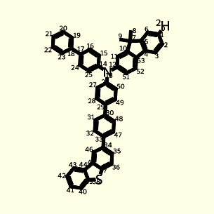 [2H]c1ccc2c(c1)C(C)(C)c1cc(N(c3ccc(-c4ccccc4)cc3)c3ccc(-c4ccc(-c5ccc6sc7ccccc7c6c5)cc4)cc3)ccc1-2